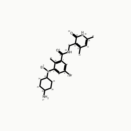 CCN(c1cc(Br)cc(C(=O)NCc2c(C)cc(C)[nH]c2=O)c1C)C1CCC(N)CC1